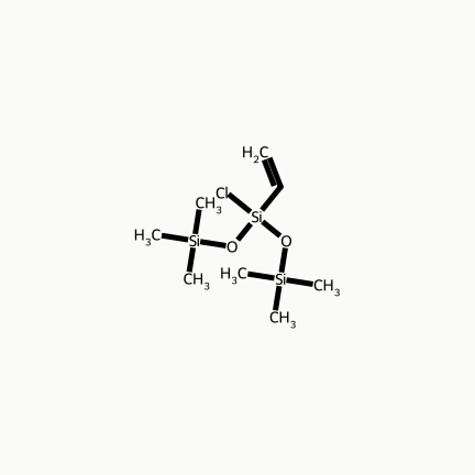 C=C[Si](Cl)(O[Si](C)(C)C)O[Si](C)(C)C